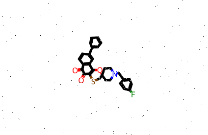 O=C1C(=O)c2ccc(-c3ccccc3)cc2C2=C1SCC1(CCN(Cc3ccc(F)cc3)CC1)O2